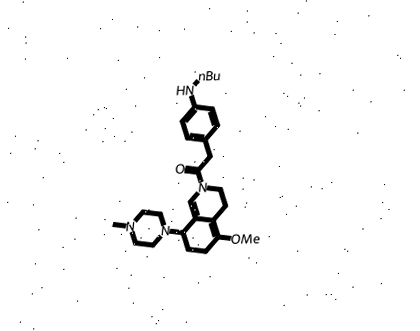 CCCCNc1ccc(CC(=O)N2C=C3C(=C(OC)CCC3N3CCN(C)CC3)CC2)cc1